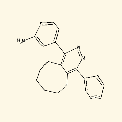 Nc1cccc(-c2nnc(-c3ccccc3)c3c2CCCCCC3)c1